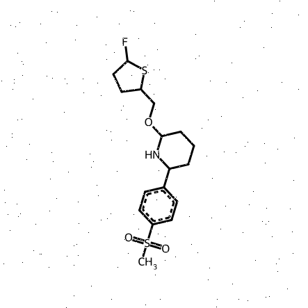 CS(=O)(=O)c1ccc(C2CCCC(OCC3CCC(F)S3)N2)cc1